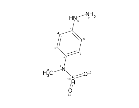 CN(c1ccc(NN)cc1)[SH](=O)=O